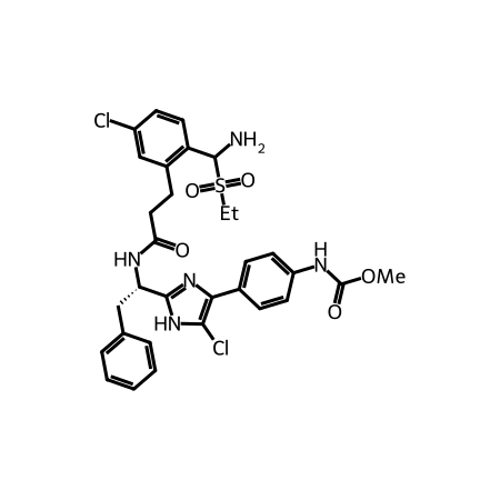 CCS(=O)(=O)C(N)c1ccc(Cl)cc1CCC(=O)N[C@@H](Cc1ccccc1)c1nc(-c2ccc(NC(=O)OC)cc2)c(Cl)[nH]1